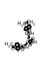 CN(C)c1cccc2c(S(=O)(=O)NCCSC3=C(SCCNS(=O)(=O)c4cccc5c(N(C)C)cccc45)C(=O)NC3=O)cccc12